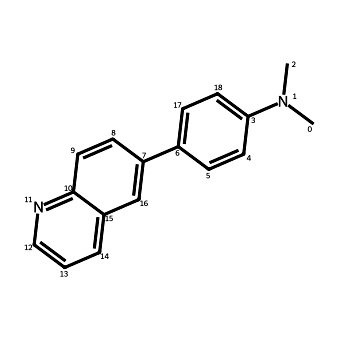 CN(C)c1ccc(-c2ccc3ncccc3c2)cc1